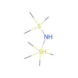 CS(C)(C)N[SH](C)(C)(C)C